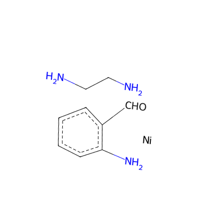 NCCN.Nc1ccccc1C=O.[Ni]